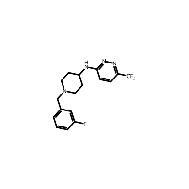 Fc1cccc(CN2CCC(Nc3ccc(C(F)(F)F)nn3)CC2)c1